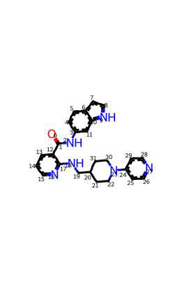 O=C(Nc1ccc2cc[nH]c2c1)c1cccnc1NCC1CCN(c2ccncc2)CC1